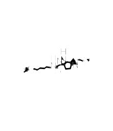 COCCn1cc2c(n1)CCc1c(C(=O)NCCCCCCSC(C)=O)n[nH]c1-2